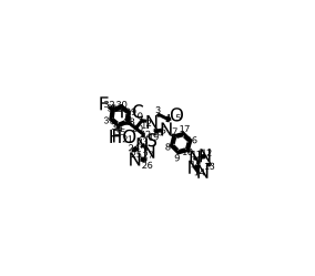 C[C@@H](N1CC(=O)N(c2ccc(-n3ncnn3)cc2)C1=S)[C@](O)(Cn1cncn1)c1ccc(F)cc1F